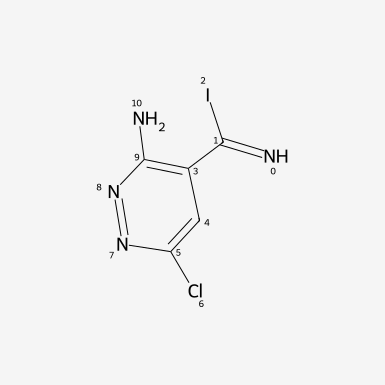 N=C(I)c1cc(Cl)nnc1N